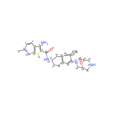 Cc1ccc2c(N)c(C(=O)N[C@H]3CCc4cc(N5CC6CNCC(C5)O6)c(C#N)cc4C3)sc2n1